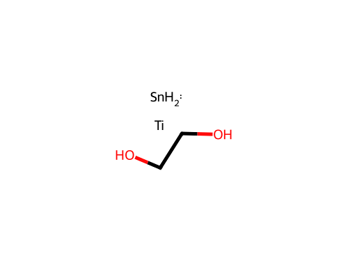 OCCO.[SnH2].[Ti]